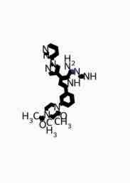 CC(=O)N1CCN(c2cccc(-c3cc(-c4cnn(-c5cccnn5)c4)c(/C(N)=N\C=N)[nH]3)c2)C(=O)C1(C)C